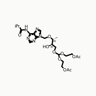 CC(=O)OCCOC(OCCOC(C)=O)OC[C@@H](O)[C@@H](C)OCn1cnc2c(NC(=O)C(C)C)ncnc21